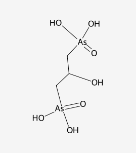 O=[As](O)(O)CC(O)C[As](=O)(O)O